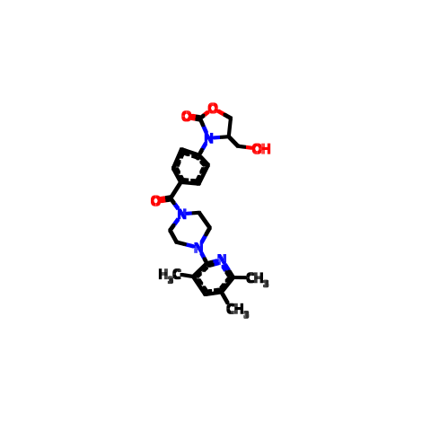 Cc1cc(C)c(N2CCN(C(=O)c3ccc(N4C(=O)OCC4CO)cc3)CC2)nc1C